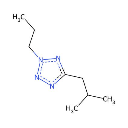 CCCn1nnc(CC(C)C)n1